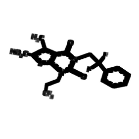 Cc1c(C(=O)O)sc2c1c(=O)n(CC(F)(F)c1ccccc1)c(=O)n2CCC(F)(F)F